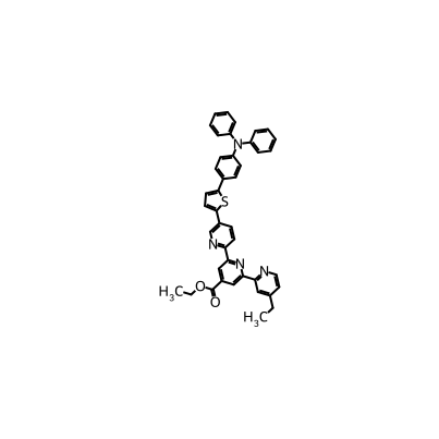 CCOC(=O)c1cc(-c2ccc(-c3ccc(-c4ccc(N(c5ccccc5)c5ccccc5)cc4)s3)cn2)nc(-c2cc(CC)ccn2)c1